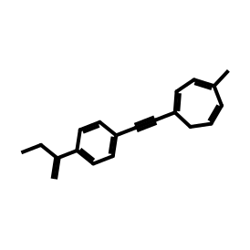 C=C(CC)c1ccc(C#CC2=CC=C(C)C=CC2)cc1